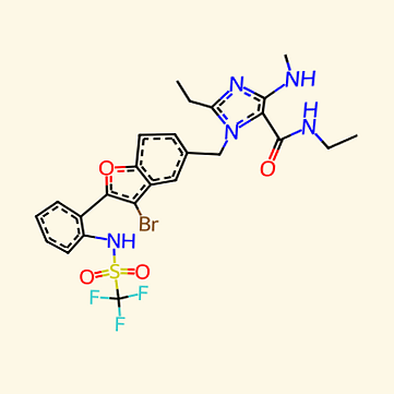 CCNC(=O)c1c(NC)nc(CC)n1Cc1ccc2oc(-c3ccccc3NS(=O)(=O)C(F)(F)F)c(Br)c2c1